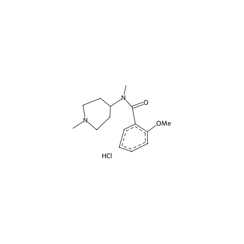 COc1ccccc1C(=O)N(C)C1CCN(C)CC1.Cl